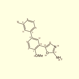 COc1ccc(-c2cccc(C)c2)cc1-c1cnc(N)o1